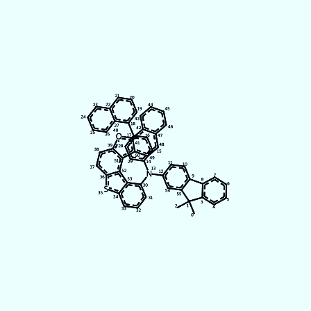 CC1(C)c2ccccc2-c2ccc(N(c3ccc(-c4cccc5ccccc45)cc3)c3cccc4sc5ccc6oc7c8ccccc8ccc7c6c5c34)cc21